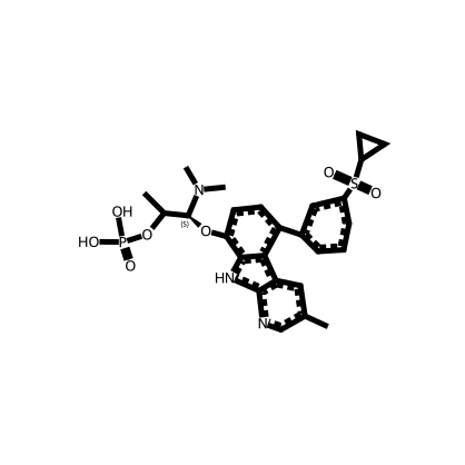 Cc1cnc2[nH]c3c(O[C@@H](C(C)OP(=O)(O)O)N(C)C)ccc(-c4cccc(S(=O)(=O)C5CC5)c4)c3c2c1